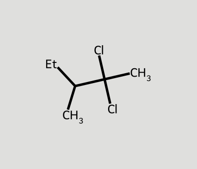 CCC(C)C(C)(Cl)Cl